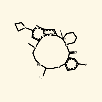 CN1CCNC(C(F)(F)F)COc2ccc(F)cc2C(=O)N2CCCC[C@H]2c2cc3nc(N4CCC4)cc1n3n2